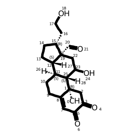 C[C@]12CC(=O)C(=O)C=C1CC[C@H]1[C@@H]3CC[C@H](CCO)[C@@]3(C=O)CC(O)[C@@H]12